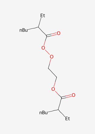 CCCCC(CC)C(=O)OCCOOC(=O)C(CC)CCCC